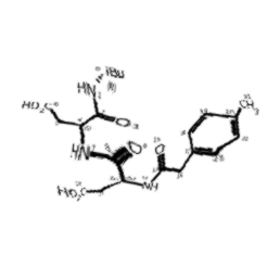 CC[C@@H](C)NC(=O)[C@H](CC(=O)O)NC(=O)[C@H](CC(=O)O)NC(=O)Cc1ccc(C)cc1